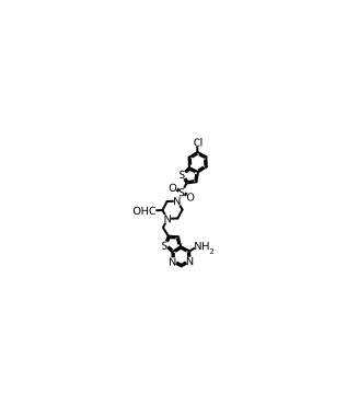 Nc1ncnc2sc(CN3CCN(S(=O)(=O)c4cc5ccc(Cl)cc5s4)CC3C=O)cc12